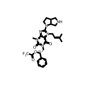 CC(C)=CCn1c(N2CCC3CNCC32)nc2c1c(=O)n(C[C@@H](OC(=O)C(F)(F)F)c1ccccc1)c(=O)n2C